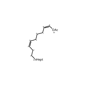 CCCCCCCCC/C=C\CCC/C=C\OC(C)=O